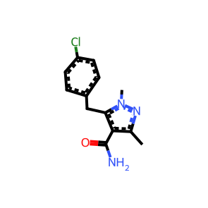 Cc1nn(C)c(Cc2ccc(Cl)cc2)c1C(N)=O